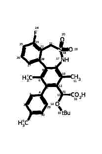 Cc1ccc(-c2c(C)c3c(c(C)c2[C@H](OC(C)(C)C)C(=O)O)NS(=O)(=O)Cc2c(F)cccc2-3)cc1